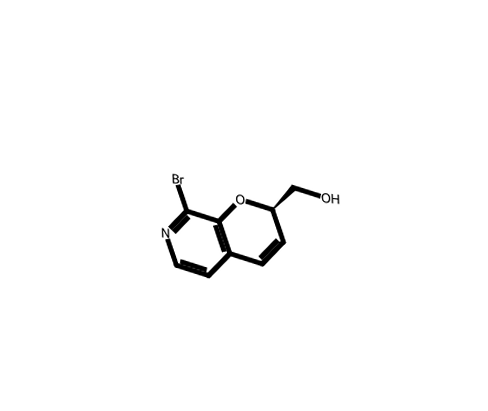 OC[C@H]1C=Cc2ccnc(Br)c2O1